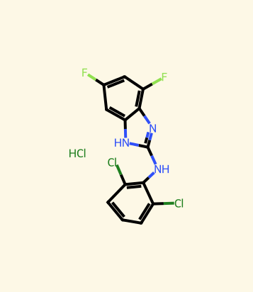 Cl.Fc1cc(F)c2nc(Nc3c(Cl)cccc3Cl)[nH]c2c1